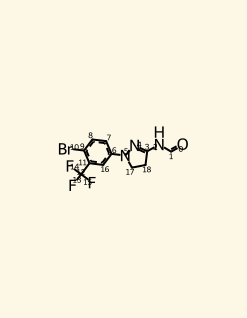 O=CNC1=NN(c2ccc(Br)c(C(F)(F)F)c2)CC1